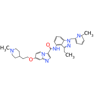 CCc1nn(Cc2cccc(C)n2)c2cccc(NC(=O)c3cnc4cc(OCCC5CCN(C)CC5)ccn34)c12